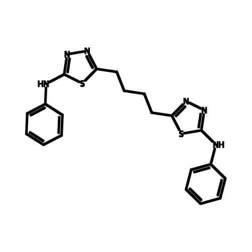 c1ccc(Nc2nnc(CCCCc3nnc(Nc4ccccc4)s3)s2)cc1